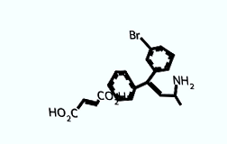 CC(N)C=C(c1ccccc1)c1cccc(Br)c1.O=C(O)C=CC(=O)O